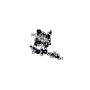 CCOC(=O)/C(Cl)=C/c1cc(N2C(=O)C3=C(CCCC3)C2=O)ccc1Cl.CCS(=O)(=O)c1cccnc1S(=O)(=O)NC(=O)Nc1nc(OC)cc(OC)n1.C[S+](C)C.O=C(Nc1nc(OC(F)F)cc(OC(F)F)n1)NS(=O)(=O)c1ccccc1C(=O)O.O=C(O)CNCP(=O)([O-])O